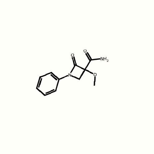 COC1(C(N)=O)CN(c2ccccc2)C1=O